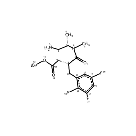 C[C@@H](CN)N(C)C(=O)[C@@H](CC(=O)OC(C)(C)C)Cc1cc(F)cc(F)c1F